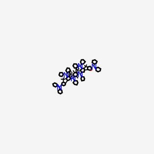 Cc1c2c(c(C)c3c1B1c4ccccc4N(c4ccccc4)c4c1c(cc1c4C(C)(C)c4cc(N(c5ccccc5)c5ccccc5)ccc4-1)N3c1ccccc1)N(c1ccccc1)c1cc3c(c4c1B2c1ccccc1N4c1ccccc1)C(C)(C)c1cc(N(c2ccccc2)c2ccccc2)ccc1-3